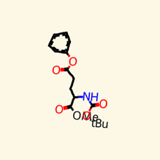 COC(=O)C(CCC(=O)Oc1ccccc1)NC(=O)OC(C)(C)C